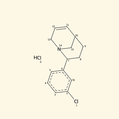 Cl.Clc1cccc(C2CCC3C=CCN2C3)c1